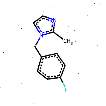 Cc1n[c]cn1Cc1ccc(F)cc1